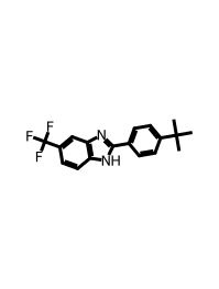 CC(C)(C)c1ccc(-c2nc3cc(C(F)(F)F)ccc3[nH]2)cc1